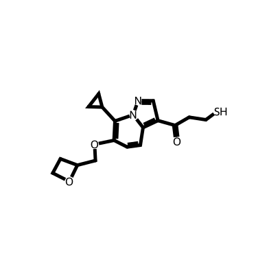 O=C(CCS)c1cnn2c(C3CC3)c(OCC3CCO3)ccc12